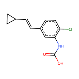 O=C(O)Nc1cc(C=CC2CC2)ccc1Cl